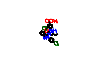 CCCCN(C(=O)Nc1ccc(C(=O)O)cc1Cl)c1c2ccccc2nn1-c1ccc(Cl)cc1